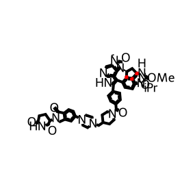 COC(=O)N[C@@H]1CC[C@@H](n2c(=O)n(C)c3cnc4[nH]c(-c5ccc(C(=O)N6CCC(CN7CCN(c8ccc9c(c8)CN(C8CCC(=O)NC8=O)C9=O)CC7)CC6)cc5)c(-c5ccc6c(cnn6C(C)C)c5)c4c32)C1